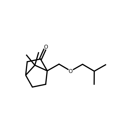 CC(C)COCC12CCC(CC1=O)C2(C)C